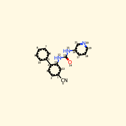 N#Cc1ccc(-c2ccccc2)c(NC(=O)Nc2cccnc2)c1